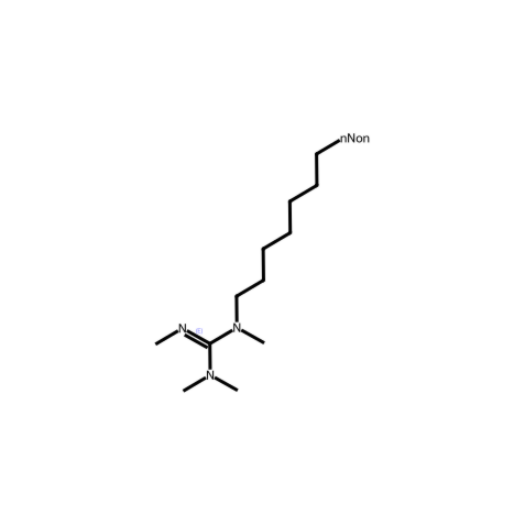 CCCCCCCCCCCCCCCCN(C)/C(=N/C)N(C)C